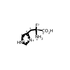 N[C@@](F)(Cc1c[nH]cn1)C(=O)O